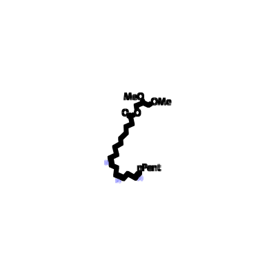 CCCCC/C=C\C/C=C\C/C=C\CCCCCCCC(=O)OCC(COC)OC